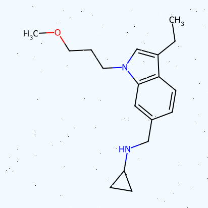 CCc1cn(CCCOC)c2cc(CNC3CC3)ccc12